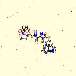 CS(=O)(=O)N1CCCC1CCNC(=O)c1noc2c1CN(c1ncnc3[nH]ccc13)CC2